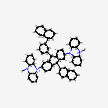 CN1c2ccccc2N(c2ccc3c(-c4ccc5ccccc5c4)c4cc(N5c6ccccc6N(C)c6ccccc65)ccc4c(-c4cccc(-c5cccc6ccccc56)c4)c3c2)c2ccccc21